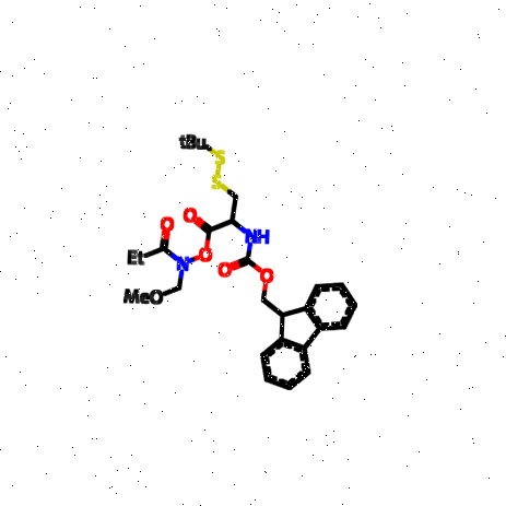 CCC(=O)N(COC)OC(=O)C(CSSC(C)(C)C)NC(=O)OCC1c2ccccc2-c2ccccc21